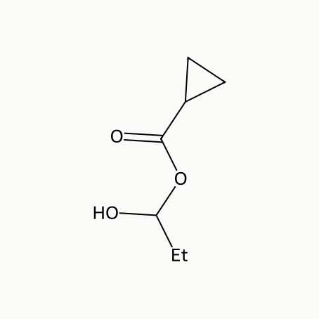 CCC(O)OC(=O)C1CC1